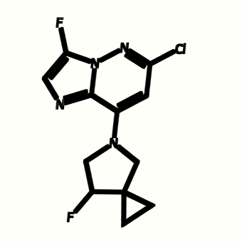 Fc1cnc2c(N3CC(F)C4(CC4)C3)cc(Cl)nn12